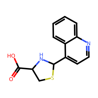 O=C(O)C1CSC(c2ccnc3ccccc23)N1